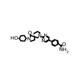 NC(=O)c1ccc(-c2cnc(N3CCC[C@@]4(CCN([C@H]5CC[C@H](O)CC5)C4=O)C3)nc2)cc1